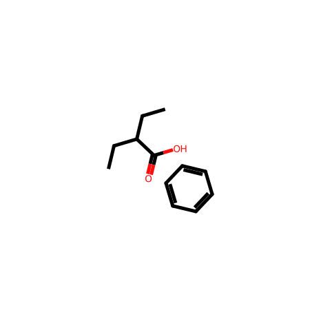 CCC(CC)C(=O)O.c1ccccc1